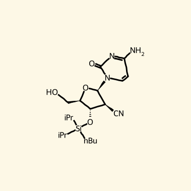 CCCC[Si](O[C@H]1[C@H](C#N)[C@H](n2ccc(N)nc2=O)O[C@@H]1CO)(C(C)C)C(C)C